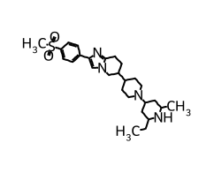 CCC1CC(N2CCC(C3CCc4nc(-c5ccc(S(C)(=O)=O)cc5)cn4C3)CC2)CC(C)N1